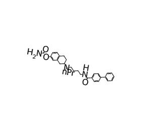 CCCN(CCCCNC(=O)c1ccc(-c2ccccc2)cc1)[C@@H]1CCc2ccc(OC(N)=O)cc2C1